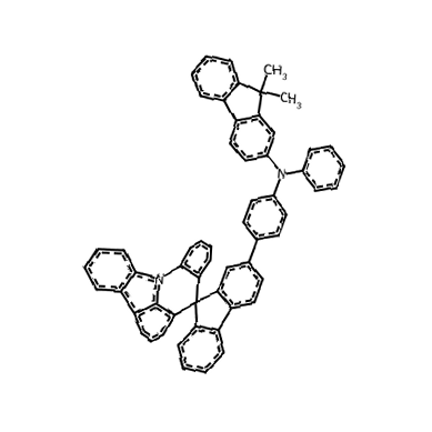 CC1(C)c2ccccc2-c2ccc(N(c3ccccc3)c3ccc(-c4ccc5c(c4)C4(c6ccccc6-5)c5ccccc5-n5c6ccccc6c6cccc4c65)cc3)cc21